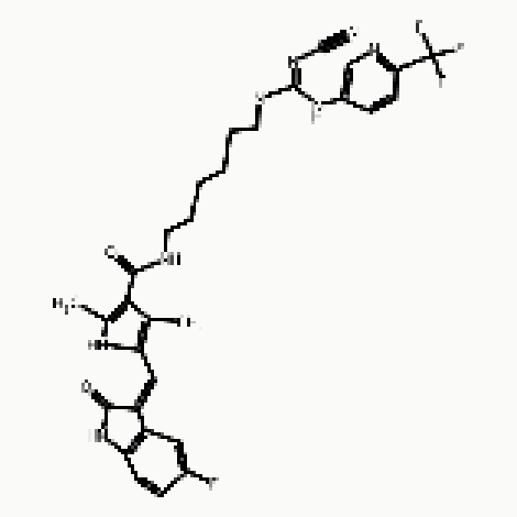 Cc1[nH]c(/C=C2\C(=O)Nc3ccc(F)cc32)c(C)c1C(=O)NCCCCCCN/C(=N/C#N)Nc1ccc(C(F)(F)F)nc1